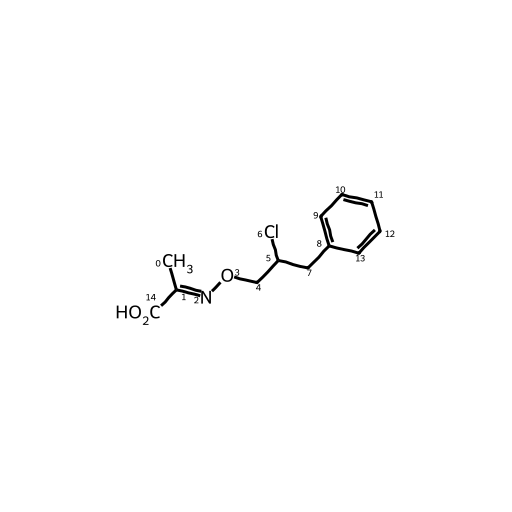 CC(=NOCC(Cl)Cc1ccccc1)C(=O)O